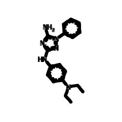 CCN(CC)c1ccc(Nc2nc(N)n(-c3ccccc3)n2)cc1